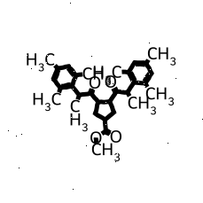 COC(=O)C1CC(C(=O)C(C)c2c(C)cc(C)cc2C)C(C(=O)C(C)c2c(C)cc(C)cc2C)C1